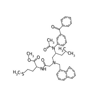 COC(=O)C(CCSC)NC(=O)CN(Cc1cccc2ccccc12)CC(CC(C)C)N(C(C)=O)c1cccc(C(=O)c2ccccc2)c1